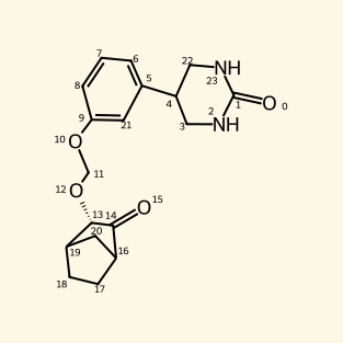 O=C1NCC(c2cccc(OCO[C@@H]3C(=O)C4CCC3C4)c2)CN1